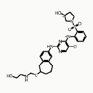 O=S(=O)(c1ccccc1Nc1nc(Nc2ccc3c(c2)CCCC(OCNCCO)C3)ncc1Cl)N1CC[C@H](O)C1